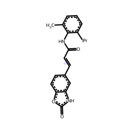 Cc1cccc(C(C)C)c1NC(=O)/C=C/c1ccc2oc(=O)[nH]c2c1